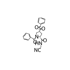 N#CCNC(=O)[C@@H]1C[C@@H](S(=O)(=O)c2ccccc2)CN1C(=O)c1ccccc1